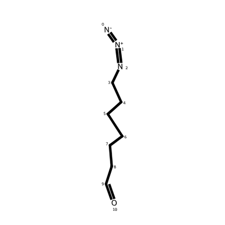 [N-]=[N+]=NCCCCCCC=O